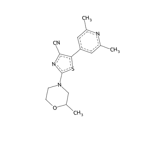 Cc1cc(-c2sc(N3CCOC(C)C3)nc2C#N)cc(C)n1